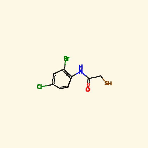 O=C(CS)Nc1ccc(Cl)cc1Br